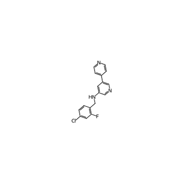 Fc1cc(Cl)ccc1CNc1cncc(-c2ccncc2)c1